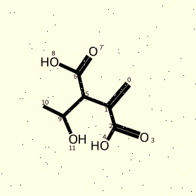 C=C(C(=O)O)C(C(=O)O)C(C)O